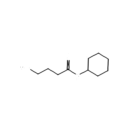 COCCCC(=O)NC1CCCCC1